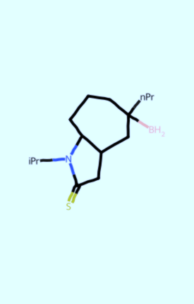 BC1(CCC)CCCC2C(CC(=S)N2C(C)C)C1